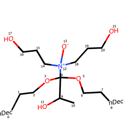 CCCCCCCCCCCCOC(OCCCCCCCCCCCC)(C(C)O)[N+]([O-])(CCCO)CCCO